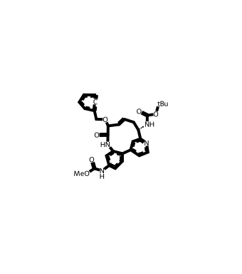 COC(=O)Nc1ccc2c(c1)NC(=O)C(OCc1ccccc1)/C=C/C[C@H](NC(=O)OC(C)(C)C)c1cc-2ccn1